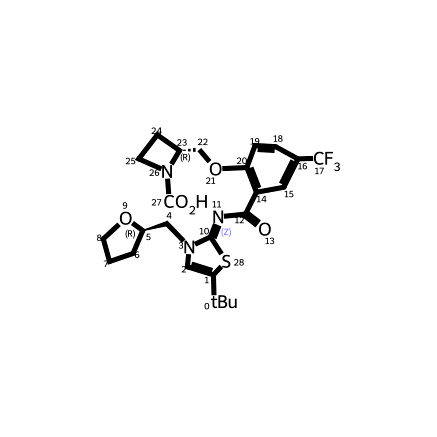 CC(C)(C)c1cn(C[C@H]2CCCO2)/c(=N/C(=O)c2cc(C(F)(F)F)ccc2OC[C@H]2CCN2C(=O)O)s1